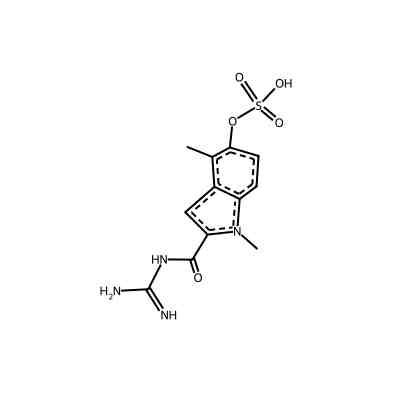 Cc1c(OS(=O)(=O)O)ccc2c1cc(C(=O)NC(=N)N)n2C